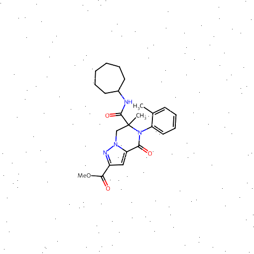 COC(=O)c1cc2n(n1)CC(C)(C(=O)NC1CCCCCC1)N(c1ccccc1C)C2=O